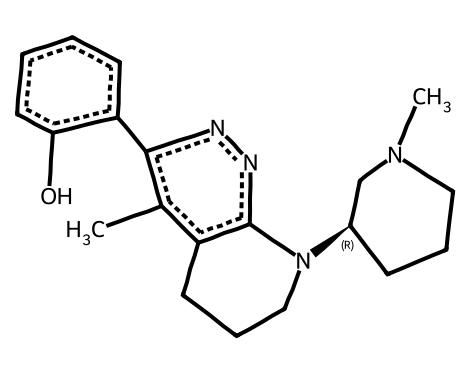 Cc1c(-c2ccccc2O)nnc2c1CCCN2[C@@H]1CCCN(C)C1